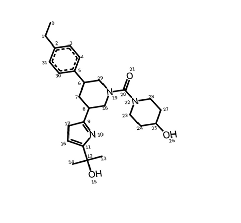 CCc1ccc(C2CC(C3=NC(C(C)(C)O)=CC3)CN(C(=O)N3CCC(O)CC3)C2)cc1